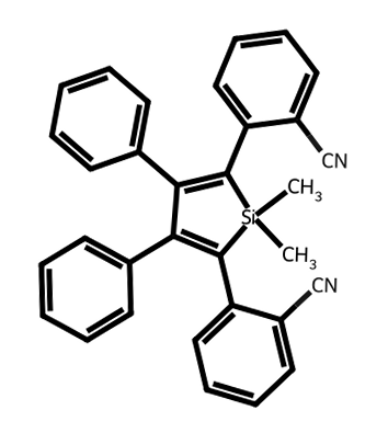 C[Si]1(C)C(c2ccccc2C#N)=C(c2ccccc2)C(c2ccccc2)=C1c1ccccc1C#N